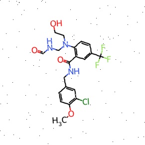 COc1ccc(CNC(=O)c2cc(C(F)(F)F)ccc2N(CCO)CNC=O)cc1Cl